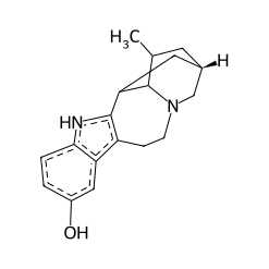 CC1C[C@H]2CC3c4[nH]c5ccc(O)cc5c4CCN(C2)C13